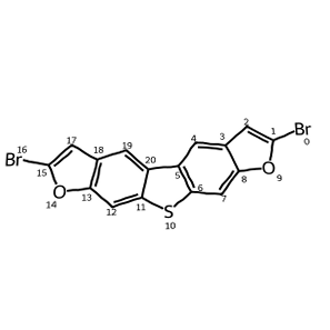 Brc1cc2cc3c(cc2o1)sc1cc2oc(Br)cc2cc13